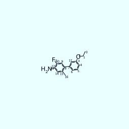 CCOc1cccc(-c2cc(F)c(N)cc2C)c1